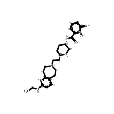 CCn1c(C(=O)N[C@H]2CC[C@H](CCN3CCc4ccc(OCC(F)(F)F)nc4CC3)OC2)cccc1=O